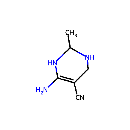 CC1NCC(C#N)=C(N)N1